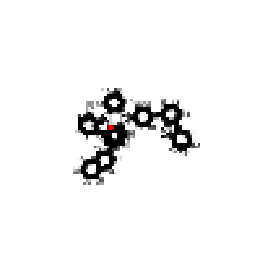 Fc1cccc2c3ccccc3n(-c3ccccc3N(c3ccc(-c4ccc5ccccc5c4)cc3)c3ccc(-c4cccc5c4sc4ccccc45)cc3)c12